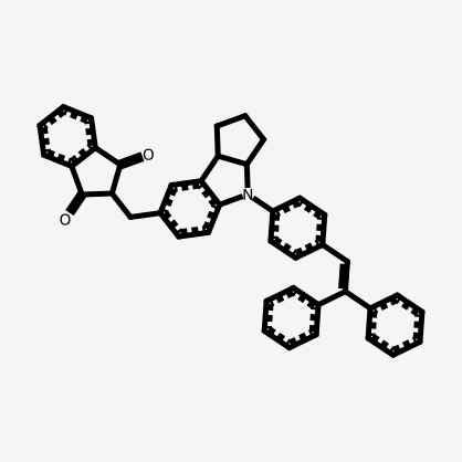 O=C1c2ccccc2C(=O)C1Cc1ccc2c(c1)C1CCCC1N2c1ccc(C=C(c2ccccc2)c2ccccc2)cc1